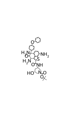 CC(C)(C)OC(=O)N1C[C@H](O)C[C@@H](NC(=O)c2sc3c(N)ccc4c3c2C(N)C(=O)C4(N)c2ccc(Oc3ccccc3)cc2)C1